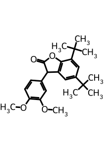 COc1ccc(C2C(=O)Oc3c2cc(C(C)(C)C)cc3C(C)(C)C)cc1OC